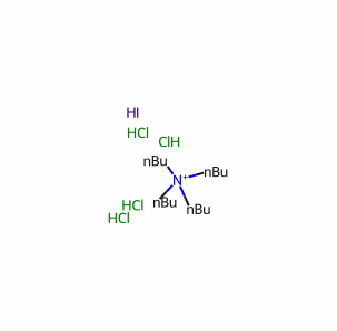 CCCC[N+](CCCC)(CCCC)CCCC.Cl.Cl.Cl.Cl.I